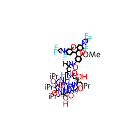 COC(=O)c1ccc(C(=O)NC(C)(C)CC(C)(C)NC(=O)C[C@H](O)[C@@H](CC(C)C)NC(=O)[C@H](C)NC(=O)C[C@H](O)[C@H](CC(C)C)NC(=O)C(NC(=O)C(NC(=O)CC(C)C)C(C)C)C(C)C)cc1-c1c2cc(F)c(=[N+]3CC(F)(F)C3)cc-2oc2cc(N3CC(F)(F)C3)c(F)cc12